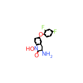 NC1Cc2cc(Oc3ccc(F)cc3F)ccc2N(O)C1=O